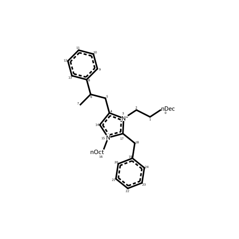 CCCCCCCCCCCC[n+]1c(CC(C)c2ccccc2)cn(CCCCCCCC)c1Cc1ccccc1